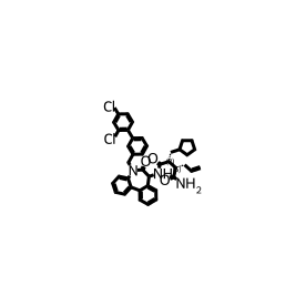 C=CC[C@H](C(N)=O)[C@@H](CC1CCCC1)C(=O)NC1C(=O)N(Cc2cccc(-c3ccc(Cl)cc3Cl)c2)c2ccccc2-c2ccccc21